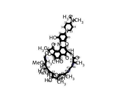 CO[C@H]1/C=C/O[C@@]2(C)Oc3c(C)c(O)c4c(=O)c(c5oc6cc(N7CCC(N(C)C)CC7)cc(O)c6nc-5c4c3C2=O)NC(=O)/C(C)=C\C=C\[C@H](C)[C@@H]2O[C@H]([C@H](O)[C@@H]2C)[C@H](OC(C)=O)[C@@H]1C